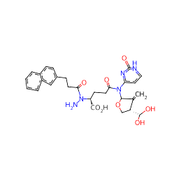 C=C1C(N(C(=O)CC[C@@H](C(=O)O)N(N)C(=O)CCc2ccc3ccccc3c2)c2cc[nH]c(=O)n2)OC[C@H]1C(O)O